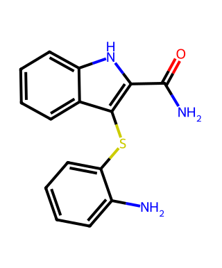 NC(=O)c1[nH]c2ccccc2c1Sc1ccccc1N